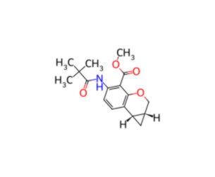 COC(=O)c1c(NC(=O)C(C)(C)C)ccc2c1OC[C@@H]1C[C@H]21